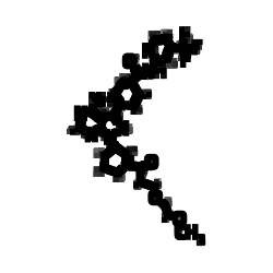 COCCOCCC(=O)N1CCC[C@@H](n2nc(-c3ccc(C(=O)Nc4cc(C(F)(F)F)ccn4)cc3)c3c(N)ncnc32)C1